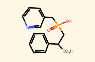 O=C(O)C(CP(=O)(O)Cc1cccnc1)c1ccccc1